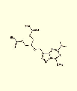 CSc1nc(N(C)C)nc2c1ncn2COC(COC(=O)C(C)(C)C)COC(=O)C(C)(C)C